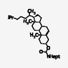 CCCCCCCC(=O)OC1CC[C@@]2(C)C(=CCC3C2CC[C@@]2(C)C3CC[C@@H]2[C@H](C)CCCC(C)C)C1